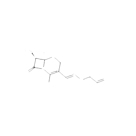 C=CCO/N=C/C1=C(C(=O)O)N2C(=O)[C@@H](N)[C@H]2SC1